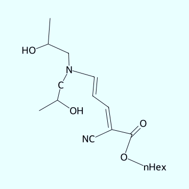 CCCCCCOC(=O)/C(C#N)=C/C=C/N(CC(C)O)CC(C)O